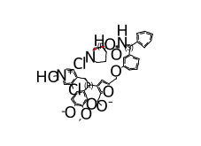 COc1ccc([C@@H](Cc2c(Cl)c[n+](O)cc2Cl)c2cc(COc3cccc([C@@H](NC(=O)O[C@H]4CN5CCC4CC5)c4ccccc4)c3)oc2C(=O)[O-])cc1OC